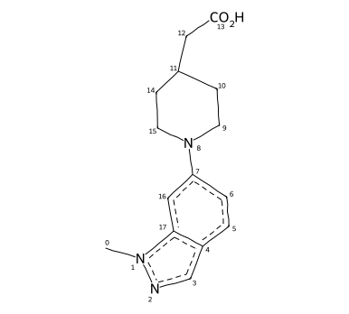 Cn1ncc2ccc(N3CCC(CC(=O)O)CC3)cc21